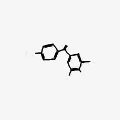 Cc1ccc(C(=O)c2cc(Br)c(O)c(Br)c2)cc1